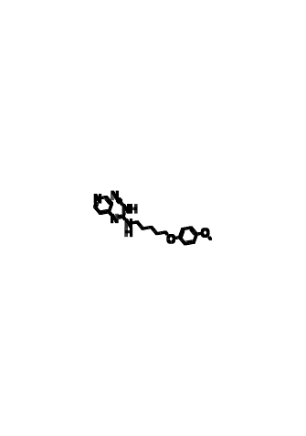 COc1ccc(OCCCCCN/C(=N/c2ccncc2)NC#N)cc1